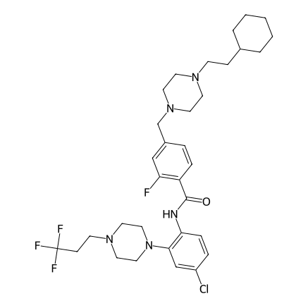 O=C(Nc1ccc(Cl)cc1N1CCN(CCC(F)(F)F)CC1)c1ccc(CN2CCN(CCC3CCCCC3)CC2)cc1F